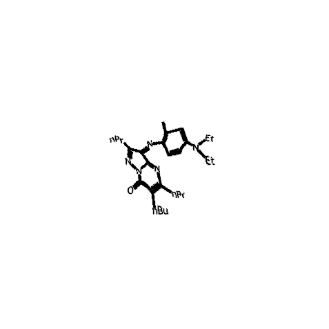 CCCCc1c(CCC)nc2n(c1=O)N=C(CCC)C2=Nc1ccc(N(CC)CC)cc1C